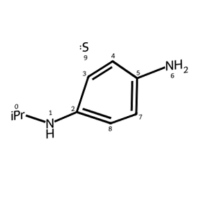 CC(C)Nc1ccc(N)cc1.[S]